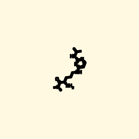 CC(C)Nc1nccc(NCCCC(N)C(=O)N(C)C)n1